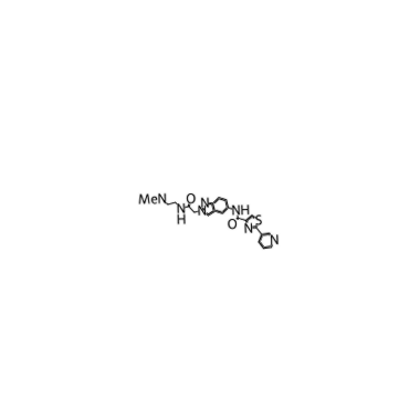 CNCCNC(=O)Cn1cc2cc(NC(=O)c3csc(-c4cccnc4)n3)ccc2n1